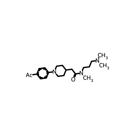 CC(=O)c1ccc(N2CCC(CC(=O)N(C)CCCN(C)C)CC2)cc1